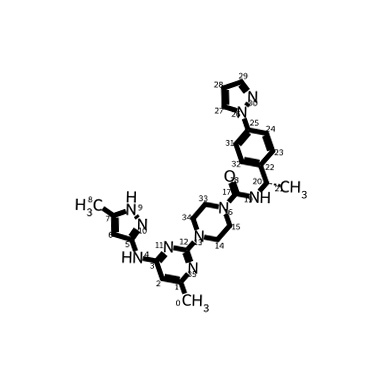 Cc1cc(Nc2cc(C)[nH]n2)nc(N2CCN(C(=O)N[C@@H](C)c3ccc(-n4cccn4)cc3)CC2)n1